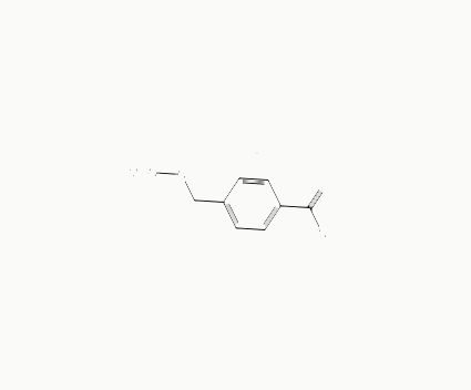 Br.CNNCc1ccc(C(N)=O)cc1